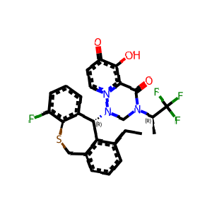 CCc1cccc2c1[C@@H](N1CN([C@H](C)C(F)(F)F)C(=O)c3c(O)c(=O)ccn31)c1cccc(F)c1SC2